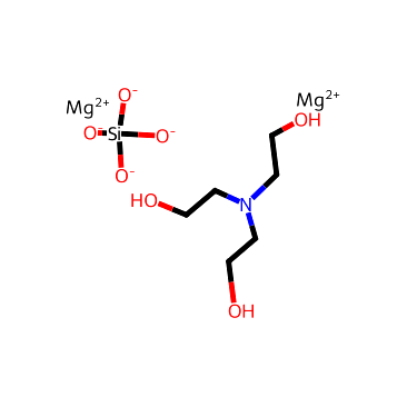 OCCN(CCO)CCO.[Mg+2].[Mg+2].[O-][Si]([O-])([O-])[O-]